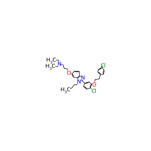 CCCCn1c(-c2ccc(Cl)c(OCCc3ccc(Cl)cc3)c2)nc2ccc(OCCCN(CC)CC)cc21